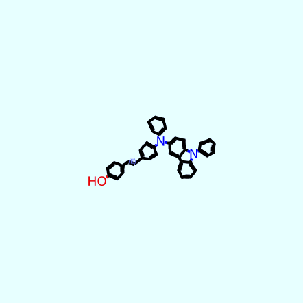 Oc1ccc(/C=C/c2ccc(N(c3ccccc3)c3ccc4c(c3)c3ccccc3n4-c3ccccc3)cc2)cc1